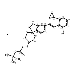 CC(C)(C)OC(=O)CCN1CCC2(CC1)COc1cc(/C=C/c3c(F)cccc3C3CC3)ccc12